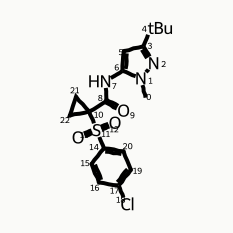 Cn1nc(C(C)(C)C)cc1NC(=O)C1(S(=O)(=O)c2ccc(Cl)cc2)CC1